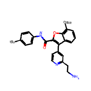 COc1cccc2c(-c3ccnc(CCN)c3)c(C(=O)Nc3ccc(C(C)(C)C)cc3)oc12